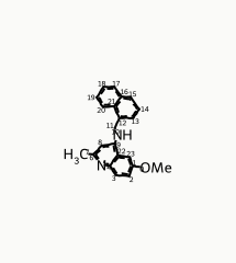 COc1ccc2nc(C)cc(NCc3cccc4ccccc34)c2c1